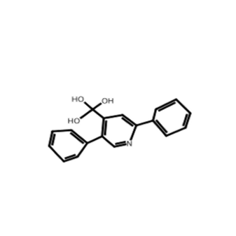 OC(O)(O)c1cc(-c2ccccc2)ncc1-c1ccccc1